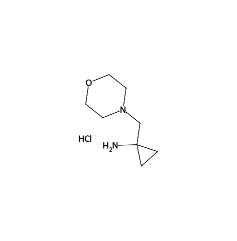 Cl.NC1(CN2CCOCC2)CC1